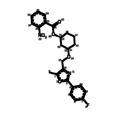 Cc1oc(-c2ccc(F)cc2)nc1CO[C@@H]1CCC[C@H](OC(=O)c2ccccc2[N+](=O)[O-])C1